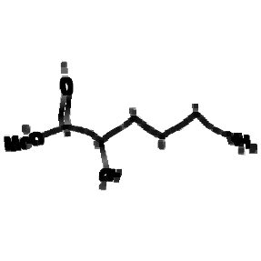 COC(=O)C(O)CCCN